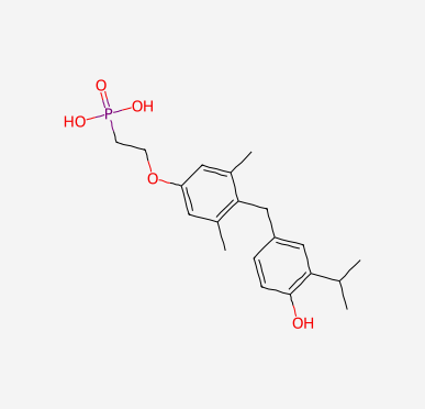 Cc1cc(OCCP(=O)(O)O)cc(C)c1Cc1ccc(O)c(C(C)C)c1